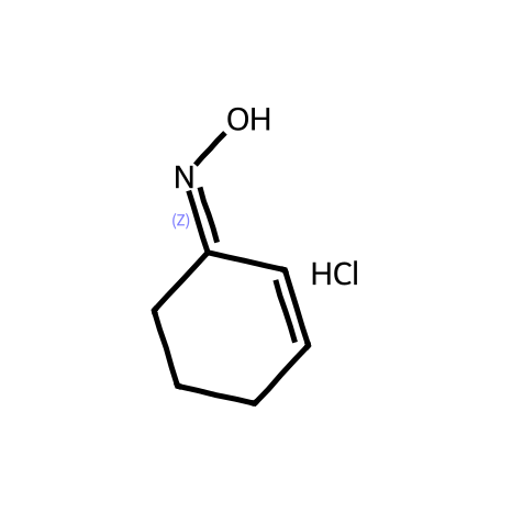 Cl.O/N=C1\C=CCCC1